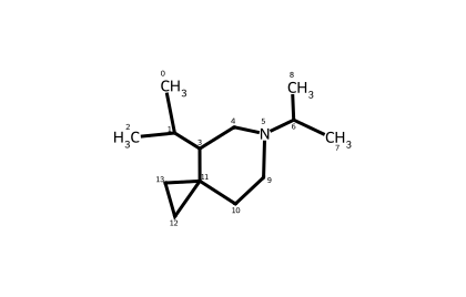 CC(C)C1CN(C(C)C)CCC12CC2